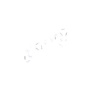 Cc1cccc2ccn(C(C)C(=O)N3CCN(c4ccc(S(=O)(=O)Nc5ccncn5)cc4)CC3)c12